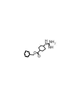 N=C(N)NC1CCC(C(=O)OCc2ccccc2)CC1